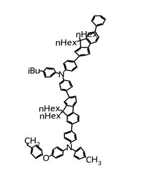 C=Cc1ccc(Oc2ccc(N(c3ccc(C)cc3)c3ccc(-c4ccc5c(c4)C(CCCCCC)(CCCCCC)c4cc(-c6ccc(N(c7ccc(-c8ccc9c(c8)C(CCCCCC)(CCCCCC)c8cc(-c%10ccccc%10)ccc8-9)cc7)c7ccc(C(C)CC)cc7)cc6)ccc4-5)cc3)cc2)cc1